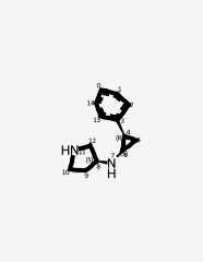 c1ccc([C@H]2C[C@@H]2N[C@H]2CCNC2)cc1